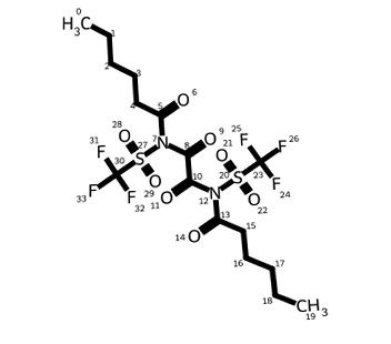 CCCCCC(=O)N(C(=O)C(=O)N(C(=O)CCCCC)S(=O)(=O)C(F)(F)F)S(=O)(=O)C(F)(F)F